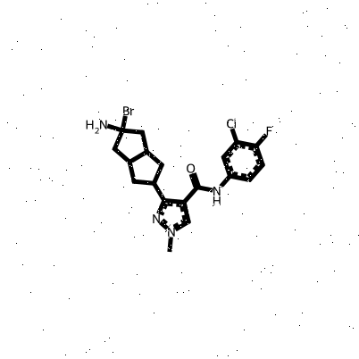 Cn1cc(C(=O)Nc2ccc(F)c(Cl)c2)c(C2CC3CC(N)(Br)CC3C2)n1